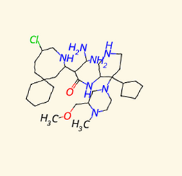 COCC1CN(C2(C3CCCC3)CCNCC2NC(=O)C(C(N)N)C2CC3(CCCCC3)CCC(Cl)CN2)CCN1C